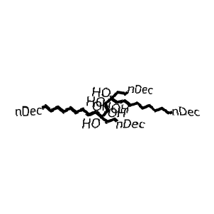 CCCCCCCCCCCCCCCCCCC(O)[C@](O)(CCCCCCCCCCCC)[C@@H](O)[C@H](O)[C@@](O)(CCCCCCCCCCCC)C(O)CCCCCCCCCCCCCCCCCC